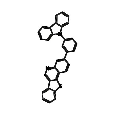 c1cc(-c2ccc3c(c2)ncc2c4ccccc4sc32)cc(-n2c3ccccc3c3ccccc32)c1